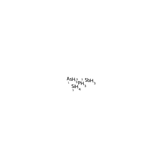 P.[AsH3].[SbH3].[SiH4]